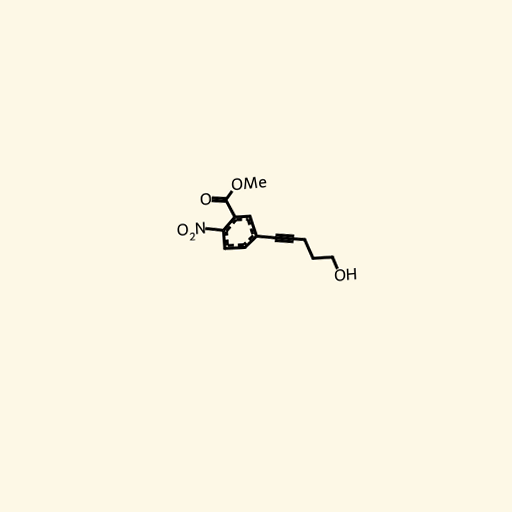 COC(=O)c1cc(C#CCCCO)ccc1[N+](=O)[O-]